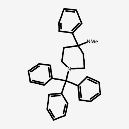 CNC1(c2ccccc2)CCN(C(c2ccccc2)(c2ccccc2)c2ccccc2)CC1